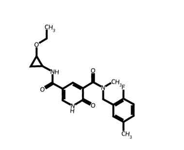 CCOC1CC1NC(=O)c1c[nH]c(=O)c(C(=O)N(C)Cc2cc(C)ccc2F)c1